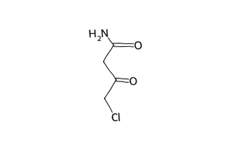 NC(=O)CC(=O)CCl